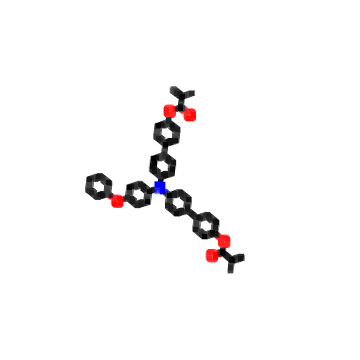 C=C(C)C(=O)Oc1ccc(-c2ccc(N(c3ccc(Oc4ccccc4)cc3)c3ccc(-c4ccc(OC(=O)C(=C)C)cc4)cc3)cc2)cc1